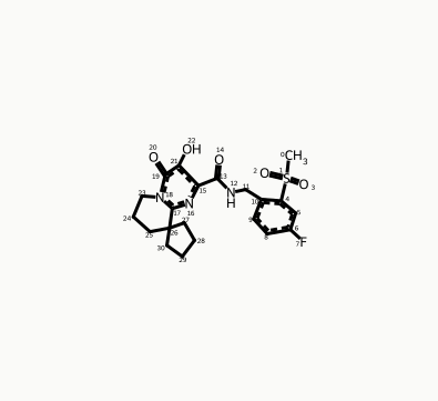 CS(=O)(=O)c1cc(F)ccc1CNC(=O)c1nc2n(c(=O)c1O)CCCC21CCCC1